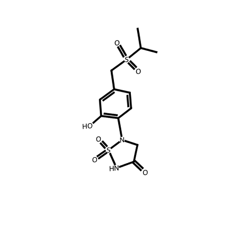 CC(C)S(=O)(=O)Cc1ccc(N2CC(=O)NS2(=O)=O)c(O)c1